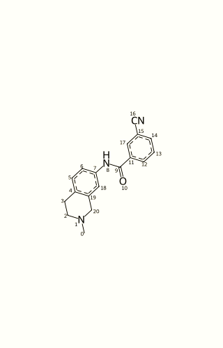 CN1CCc2ccc(NC(=O)c3cccc(C#N)c3)cc2C1